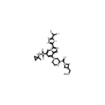 COCC1CN(C(=O)[C@@H]2CN(c3cc(S(=O)(=O)NC4(C)CC4)cn4c(-c5nnc(C(F)F)s5)ncc34)CCO2)C1